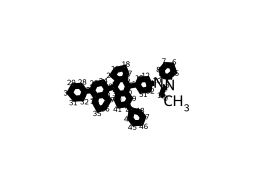 CCc1nc2ccccc2n1-c1ccc(-c2c3ccccc3c(-c3ccc(-c4ccccc4)c4ccccc34)c3ccc(-c4ccccc4)cc23)cc1